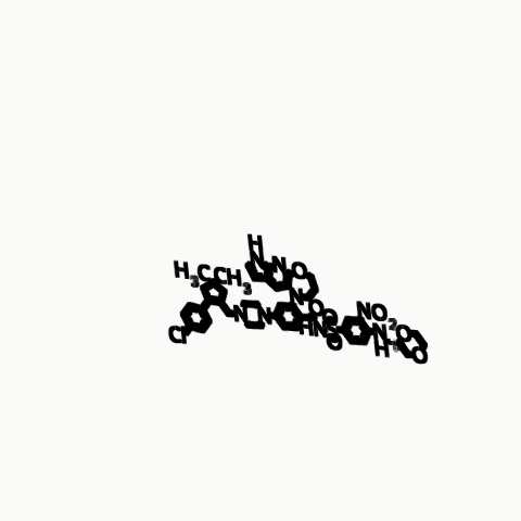 CC1(C)CC(CN2CCN(c3ccc(C(=O)NS(=O)(=O)c4ccc(NC[C@H]5COCCO5)c([N+](=O)[O-])c4)c(N4CCCOc5nc6[nH]ccc6cc54)c3)CC2)=C(c2ccc(Cl)cc2)C1